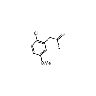 COc1ccc(Cl)c(CC(=O)Cl)c1